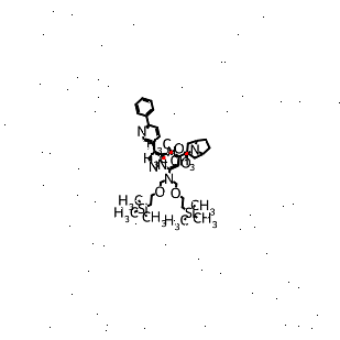 CC(C)(C)OC(=O)N1C2CCC1CC(c1cc(N(COCC[Si](C)(C)C)COCC[Si](C)(C)C)n3ncc(-c4ccc(-c5ccccc5)nc4)c3n1)C2